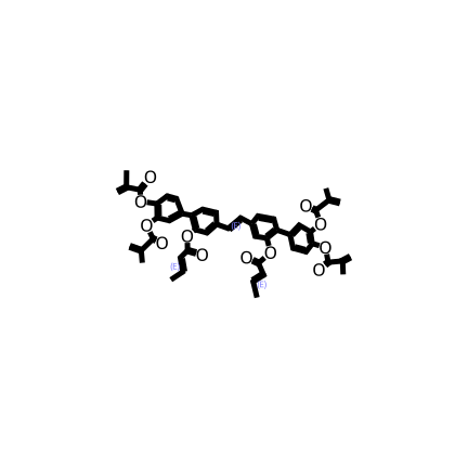 C=C(C)C(=O)Oc1ccc(-c2ccc(/C=C/c3ccc(-c4ccc(OC(=O)C(=C)C)c(OC(=O)C(=C)C)c4)c(OC(=O)/C=C/C)c3)cc2OC(=O)/C=C/C)cc1OC(=O)C(=C)C